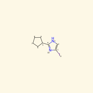 Ic1c[nH]c(C2CCCC2)n1